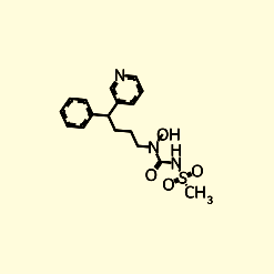 CS(=O)(=O)NC(=O)N(O)CCCC(c1ccccc1)c1cccnc1